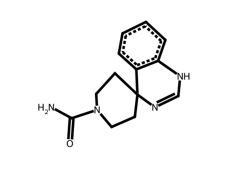 NC(=O)N1CCC2(CC1)N=CNc1ccccc12